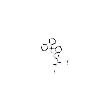 CCOC(=O)/C(=N/OC(F)F)c1cnn(NC(c2ccccc2)(c2ccccc2)c2ccccc2)n1